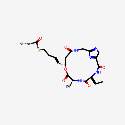 C/C=C1\NC(=O)C2=NC(=NC2)CNC(=O)C[C@@H](/C=C/CCSC(=O)CCCCCCC)OC(=O)[C@H](C(C)C)NC1=O